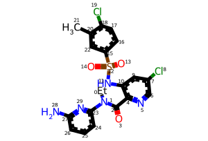 CCN(C(=O)c1ncc(Cl)cc1NS(=O)(=O)c1ccc(Cl)c(C)c1)c1cccc(N)n1